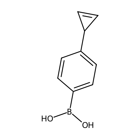 OB(O)c1ccc(C2C=C2)cc1